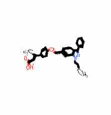 CCCn1nc(-c2ccccc2)c2ccc(COc3ccc(C(C)CC(=O)O)cc3)cc21